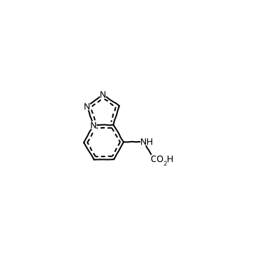 O=C(O)Nc1cccn2nncc12